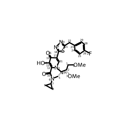 COC[C@H](OC)[C@@H]1CN(C2CC2)C(=O)c2c(O)c(=O)c(-c3nnc(Cc4ccc(F)cc4)s3)cn21